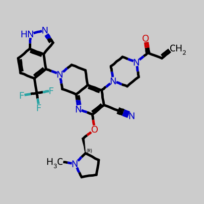 C=CC(=O)N1CCN(c2c(C#N)c(OC[C@H]3CCCN3C)nc3c2CCN(c2c(C(F)(F)F)ccc4[nH]ncc24)C3)CC1